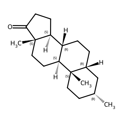 C[C@@H]1CC[C@@]2(C)[C@H](CC[C@@H]3[C@@H]2CC[C@]2(C)C(=O)CC[C@@H]32)C1